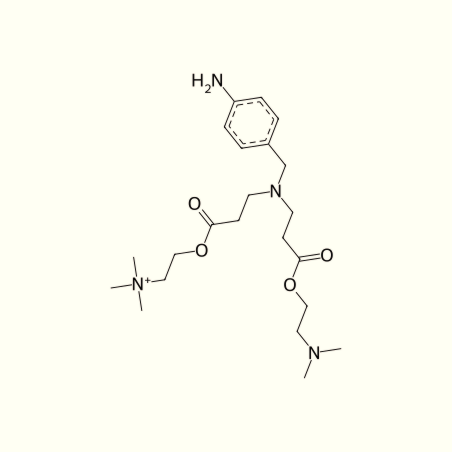 CN(C)CCOC(=O)CCN(CCC(=O)OCC[N+](C)(C)C)Cc1ccc(N)cc1